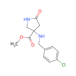 COC(=O)C1(NCc2ccc(Cl)cc2)CNC(=O)C1